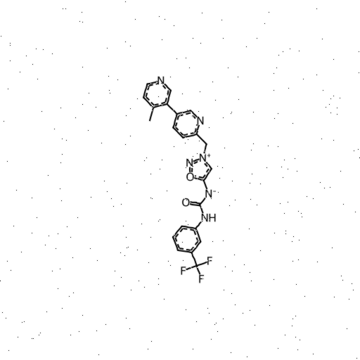 Cc1ccncc1-c1ccc(C[n+]2cc([N-]C(=O)Nc3cccc(C(F)(F)F)c3)on2)nc1